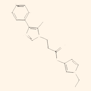 CCn1ccc(NC(=O)CCn2cnc(-c3ccccc3)c2C)c1